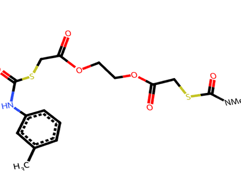 CNC(=O)SCC(=O)OCCOC(=O)CSC(=O)Nc1cccc(C)c1